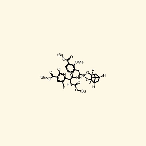 COc1c(C[C@H](NC(=O)C(NC(=O)OC(C)(C)C)c2nc(Cl)c(C(=O)OC(C)(C)C)cc2F)B2O[C@@H]3C[C@@H]4C[C@@H](C4(C)C)[C@]3(C)O2)cccc1C(=O)OC(C)(C)C